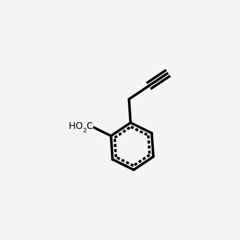 C#CCc1ccccc1C(=O)O